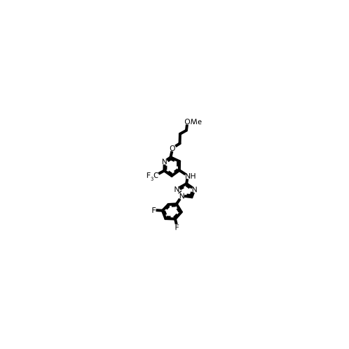 COCCCOc1cc(Nc2ncn(-c3cc(F)cc(F)c3)n2)cc(C(F)(F)F)n1